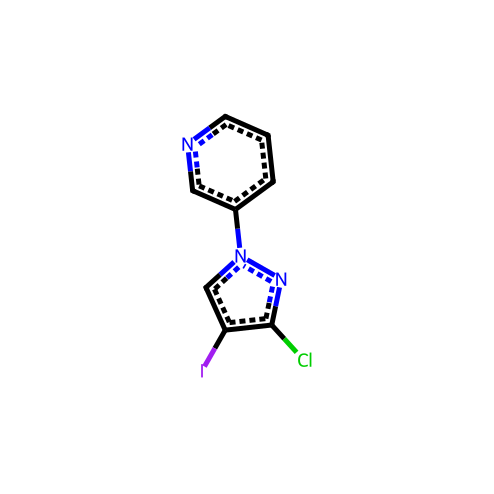 Clc1nn(-c2cccnc2)cc1I